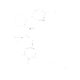 COCCCc1cc(CN(C(=O)C2COCC[C@@H]2c2ccn(C)c(=O)c2)C2CC2)cc(Br)c1C